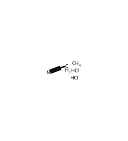 C.CC#N.Cl.Cl